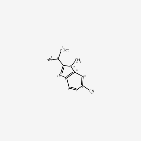 CCCCCCCCC(CCC)c1nc2ccc(C#N)cc2n1C